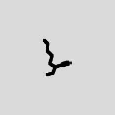 [C]#CC(CC)CCCCC